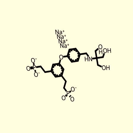 O=P([O-])([O-])CCc1cc(CCP(=O)([O-])[O-])cc(Oc2ccc(CNC(CO)(CO)CO)cc2)c1.[Na+].[Na+].[Na+].[Na+]